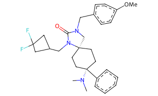 COc1ccc(CN2C[C@]3(CC[C@@](c4ccccc4)(N(C)C)CC3)N(CC3CC(F)(F)C3)C2=O)cc1